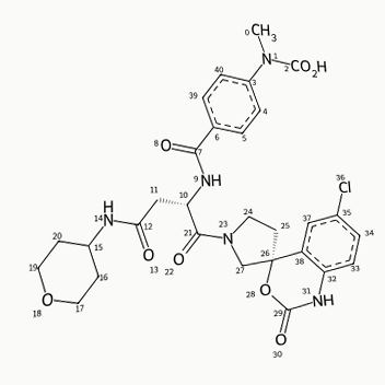 CN(C(=O)O)c1ccc(C(=O)N[C@@H](CC(=O)NC2CCOCC2)C(=O)N2CC[C@@]3(C2)OC(=O)Nc2ccc(Cl)cc23)cc1